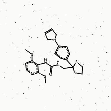 CSc1cccc(SC)c1NC(=O)NCC1(c2ccc(N3CC=CC3)cc2)SCCS1